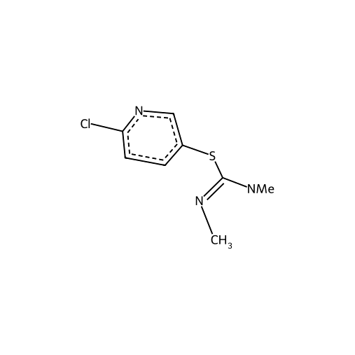 CN=C(NC)Sc1ccc(Cl)nc1